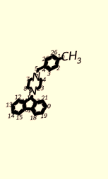 Cc1ccc(CN2CCN(C3c4ccccc4-c4ccccc43)CC2)cc1